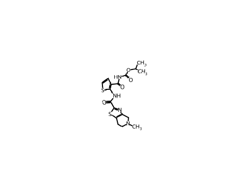 CC(C)OC(=O)NC(=O)c1ccsc1NC(=O)c1nc2c(s1)CCN(C)C2